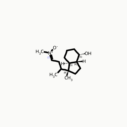 CC(C/C=[N+](/C)[O-])[C@@]1(C)CC[C@H]2[C@@H](O)CCC[C@@H]21